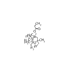 C=CC(=O)OC[Si]1(C)CC(C)(CC(C)C)O[Si](C)(C)[Si]1(C)C